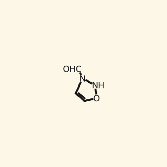 O=CN1C=CON1